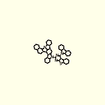 c1ccc2c(c1)ccc1c3c4c5ccccc5n(-c5nc(-n6c7ccccc7c7ccccc76)c6c(n5)sc5ccccc56)c4cc4c5ccccc5n(c21)c43